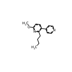 CCCCc1nc(OC)ccc1-c1ccncc1